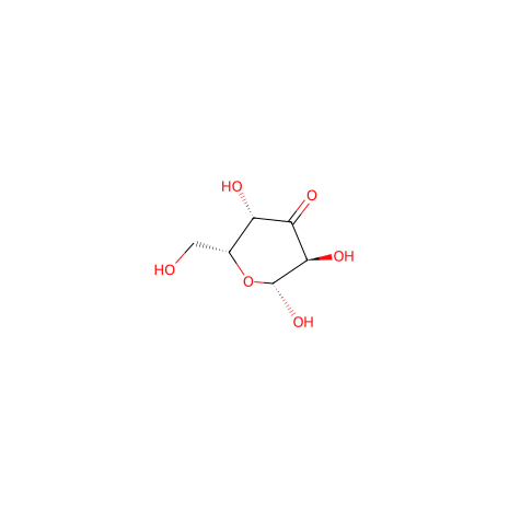 O=C1[C@@H](O)[C@H](O)O[C@H](CO)[C@@H]1O